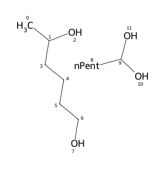 CC(O)CCCCO.CCCCCC(O)O